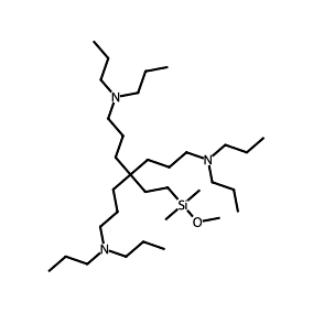 CCCN(CCC)CCCC(CCCN(CCC)CCC)(CCCN(CCC)CCC)CC[Si](C)(C)OC